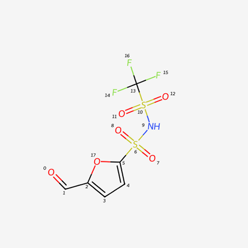 O=Cc1ccc(S(=O)(=O)NS(=O)(=O)C(F)(F)F)o1